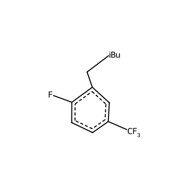 CCC(C)Cc1cc(C(F)(F)F)ccc1F